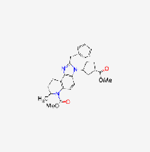 COC(=O)C1CCC(n2c(Cc3ccccc3)nc3c4c(ccc32)N(C(=O)OC)[C@@H](C)CC4)C1